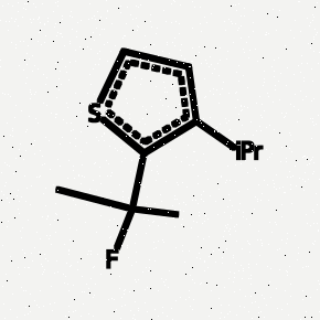 CC(C)c1ccsc1C(C)(C)F